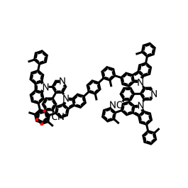 Cc1ccccc1-c1ccc2c(c1)c1cc(-c3ccccc3C)ccc1n2-c1cncc(-n2c3ccc(-c4ccccc4C)cc3c3cc(-c4cccc(-c5ccc(-c6ccc7c8ccc(-c9ccccc9C)cc8n(-c8cncc(-n9c%10cc(-c%11ccccc%11C)ccc%10c%10ccc(-c%11ccccc%11C)cc%109)c8-c8cccc(C#N)c8)c7c6)c(C)c5)c4C)ccc32)c1-c1cccc(C#N)c1